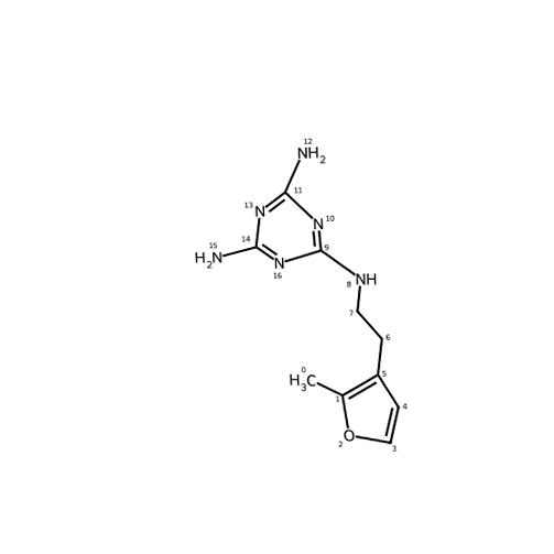 Cc1occc1CCNc1nc(N)nc(N)n1